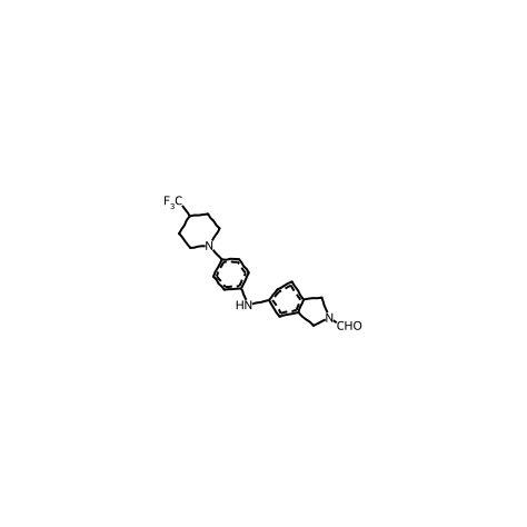 O=CN1Cc2ccc(Nc3ccc(N4CCC(C(F)(F)F)CC4)cc3)cc2C1